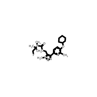 Cc1nc(-c2nnn(C)c2COC(=O)N(C)C(C)(C)CF)ccc1OC1CCCCC1